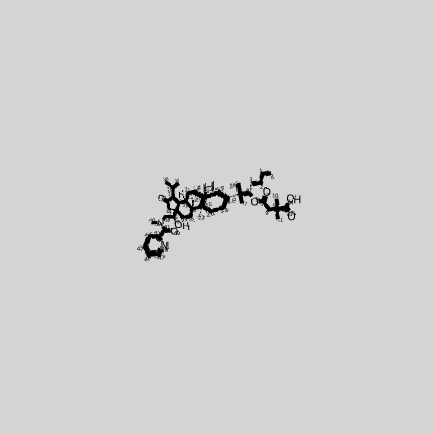 CCCC[C@H](OC(=O)CC(C)(C)C(=O)O)C(C)(C)[C@@H]1CC[C@]2(C)[C@H](CC[C@@H]3C4=C(C(C)C)C(=O)C[C@]4([C@@H](O)CN(C)C(=O)c4ccccn4)CC[C@]32C)C1